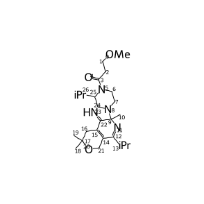 COCCC(=O)N1CCN(C2(C)N=C(C(C)C)C3=C(CC(C)(C)OC3)C2=N)CC1C(C)C